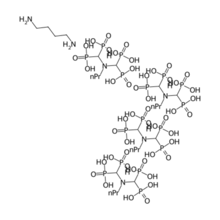 CCCN(C(P(=O)(O)O)P(=O)(O)O)C(P(=O)(O)O)P(=O)(O)O.CCCN(C(P(=O)(O)O)P(=O)(O)O)C(P(=O)(O)O)P(=O)(O)O.CCCN(C(P(=O)(O)O)P(=O)(O)O)C(P(=O)(O)O)P(=O)(O)O.CCCN(C(P(=O)(O)O)P(=O)(O)O)C(P(=O)(O)O)P(=O)(O)O.NCCCCN